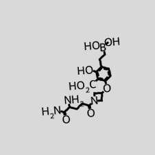 NC(=O)C(N)CCC(=O)N1CC(Oc2ccc(CCB(O)O)c(O)c2C(=O)O)C1